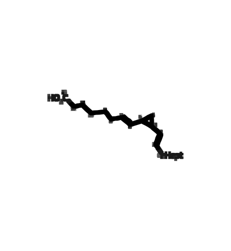 CCCCCCCC=CC1CC1C=CCCCCCC(=O)O